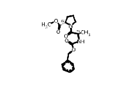 COC(=O)[C@@H]1CCCN1C(=O)[C@@H](C)NC(=O)OCc1ccccc1